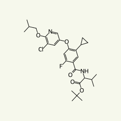 CC(C)COc1ncc(Oc2cc(F)c(C(=O)NC(C(=O)OC(C)(C)C)C(C)C)cc2C2CC2)cc1Cl